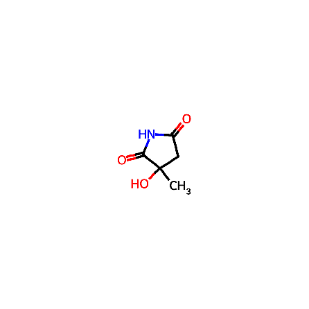 CC1(O)CC(=O)NC1=O